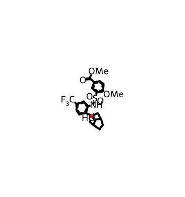 COC(=O)c1ccc(OC)c(S(=O)(=O)Nc2cc(C(F)(F)F)ccc2N2CC3CCC(C2)C3O)c1